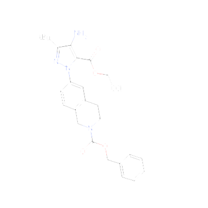 CC(C)(C)c1nn(-c2ccc3c(c2)CCN(C(=O)OCc2ccccc2)C3)c(C(=O)OCC(Cl)(Cl)Cl)c1N